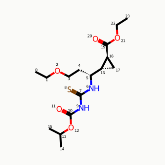 CCOCC[C@@H](NC(=S)NC(=O)OC(C)C)[C@H]1C[C@@H]1C(=O)OCC